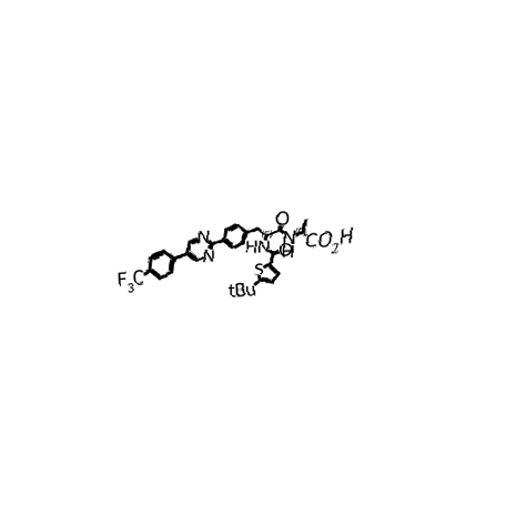 C[C@@H](NC(=O)[C@H](Cc1ccc(-c2ncc(-c3ccc(C(F)(F)F)cc3)cn2)cc1)NC(=O)c1ccc(C(C)(C)C)s1)C(=O)O